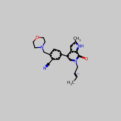 C/C=C/Cn1cc(-c2ccc(CN3CCOCC3)c(C#N)c2)c2cc(C)[nH]c2c1=O